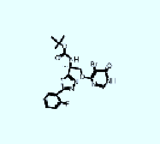 CC(C)(C)OC(=O)N[C@@](C)(COc1nc[nH]c(=O)c1Br)c1nnc(-c2ccccc2F)s1